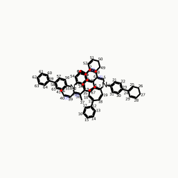 C=C/C=C\C(=C\N(C1=CCC=C(c2ccccc2)C=C1)c1ccc(C2=CCCC=C2)cc1)C1=CC=C(/C(C)=C(/C=C\C)N(c2ccc(C3=CCCC=C3)cc2)c2ccc(-c3ccccc3)cc2)CC1